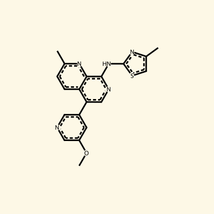 COc1cncc(-c2cnc(Nc3nc(C)cs3)c3nc(C)ccc23)c1